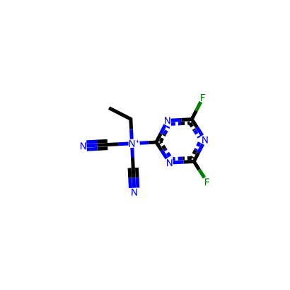 CC[N+](C#N)(C#N)c1nc(F)nc(F)n1